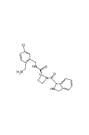 NCc1ccc(Cl)cc1CNC(=O)[C@@H]1CCN1C(=O)C1NCc2ccccc21